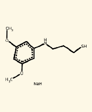 COc1cc(NCCCS)cc(OC)c1.[NaH]